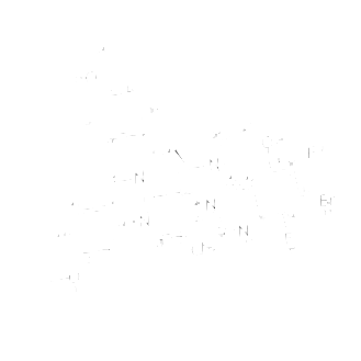 COc1ccc(CN(Cc2ccc(OC)cc2)c2ncccc2[C@@H](C)N2CCOc3c(F)c(Br)c(F)c4nc(Cl)nc2c34)cc1